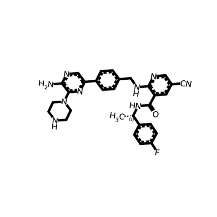 C[C@H](NC(=O)c1cc(C#N)cnc1NCc1ccc(-c2cnc(N)c(N3CCNCC3)n2)cc1)c1ccc(F)cc1